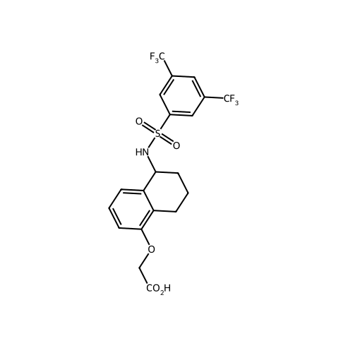 O=C(O)COc1cccc2c1CCCC2NS(=O)(=O)c1cc(C(F)(F)F)cc(C(F)(F)F)c1